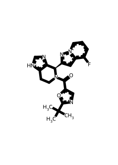 CC(C)(C)c1ncc(C(=O)N2CCc3[nH]cnc3[C@H]2c2cc3c(F)cccn3n2)o1